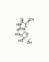 C#Cc1cn([C@@H]2O[C@H](CO)C(O)C2O)c(=O)[nH]c1=O